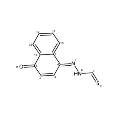 O=C1C=CC(=NNC=S)c2ccccc21